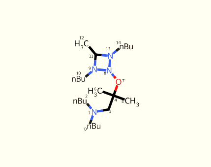 CCCCN(CCCC)CC(C)(C)ON1N(CCCC)C(C)N1CCCC